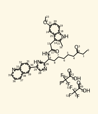 CCC(=O)CCCCCC(NC(=O)Cc1c(C)[nH]c2ccc(OC)cc12)c1ncc(-c2ccc3ncccc3c2)[nH]1.O=C(O)C(F)(F)F.O=C(O)C(F)(F)F